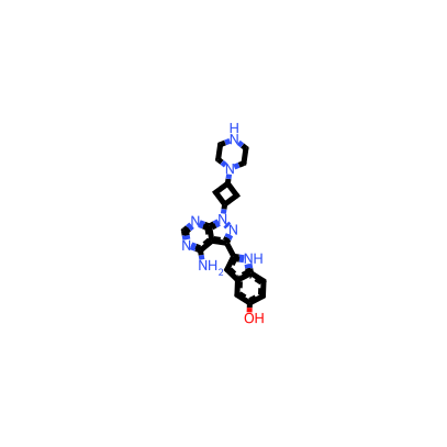 Nc1ncnc2c1c(-c1cc3cc(O)ccc3[nH]1)nn2C1CC(N2CCNCC2)C1